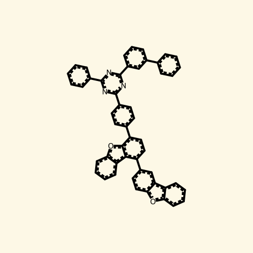 c1ccc(-c2cccc(-c3nc(-c4ccccc4)nc(-c4ccc(-c5ccc(-c6ccc7oc8ccccc8c7c6)c6c5oc5ccccc56)cc4)n3)c2)cc1